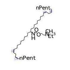 CCCCC/C=C\C/C=C\CCCCCCCCC(CCCCCCCC/C=C\C/C=C\CCCCC)NC(=O)OCCN(C)CC